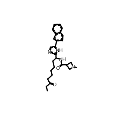 CCC(=O)CCCCCC(NC(=O)C1CN(C)C1)c1ncc(-c2ccc3ccccc3c2)[nH]1